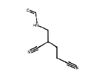 N#CCCC(C#N)CNC=O